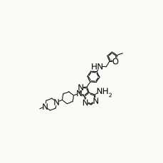 Cc1ccc(CNc2ccc(-c3nn(C4CCC(N5CCN(C)CC5)CC4)c4ncnc(N)c34)cc2)o1